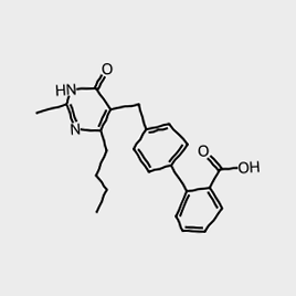 CCCCc1nc(C)[nH]c(=O)c1Cc1ccc(-c2ccccc2C(=O)O)cc1